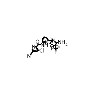 C[C@@]1(c2cccc(NC(=O)c3ncc(C#N)cc3Cl)n2)CO[C@@](C)(C(F)(F)F)C(N)=N1